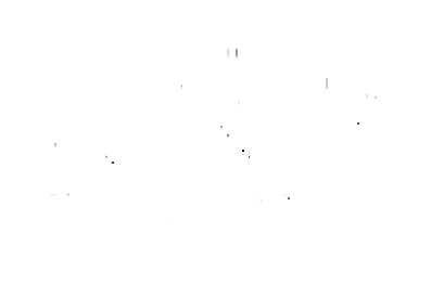 CCN(CC)c1cc(NC(C)=O)c(N=Nc2cc(Cl)c([N+](=O)[O-])cc2[N+](=O)[O-])cc1OC